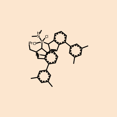 Cc1cc(C)cc(-c2cccc3c2C=C(CC(C)C)[CH]3[Zr]([Cl])([Cl])([CH]2C(CC(C)C)=Cc3c(-c4cc(C)cc(C)c4)cccc32)[SiH](C)C)c1